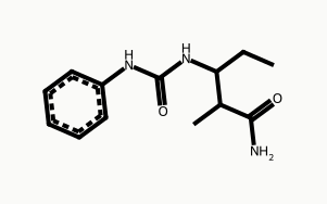 CCC(NC(=O)Nc1ccccc1)C(C)C(N)=O